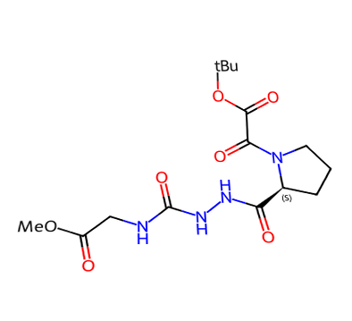 COC(=O)CNC(=O)NNC(=O)[C@@H]1CCCN1C(=O)C(=O)OC(C)(C)C